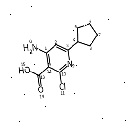 Nc1cc(C2CCCC2)nc(Cl)c1C(=O)O